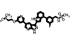 CN(C)CCOc1cncc(-c2cnc3[nH]nc(-c4cc5c(-c6cc(F)cc(CNS(C)(=O)=O)c6)cccc5[nH]4)c3c2)c1